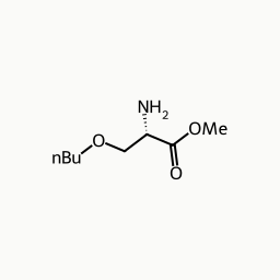 CCCCOC[C@H](N)C(=O)OC